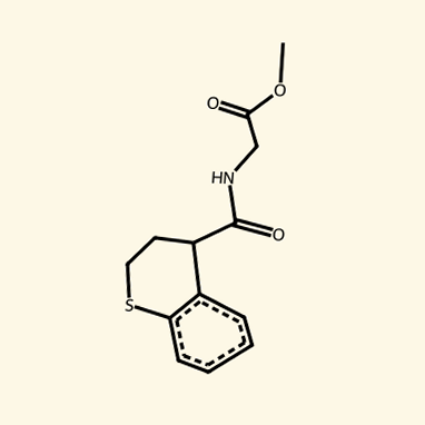 COC(=O)CNC(=O)C1CCSc2ccccc21